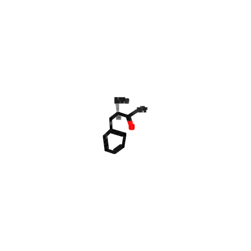 CCCC(=O)[C@H](Cc1ccccc1)NC